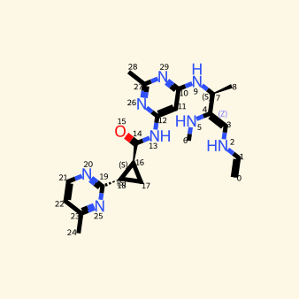 C=CN/C=C(\NC)[C@H](C)Nc1cc(NC(=O)[C@H]2C[C@@H]2c2nccc(C)n2)nc(C)n1